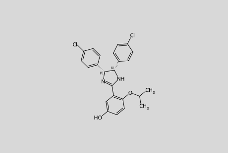 CC(C)Oc1ccc(O)cc1C1=N[C@H](c2ccc(Cl)cc2)[C@H](c2ccc(Cl)cc2)N1